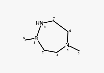 CB1CCN(C)CCN1